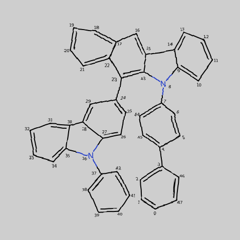 c1ccc(-c2ccc(-n3c4ccccc4c4cc5ccccc5c(-c5ccc6c(c5)c5ccccc5n6-c5ccccc5)c43)cc2)cc1